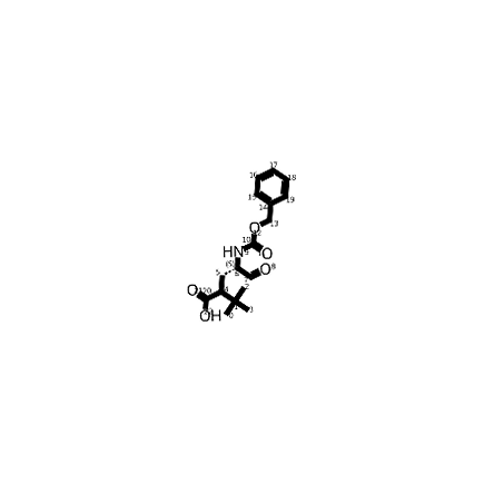 CC(C)(C)C(C[C@@H](C=O)NC(=O)OCc1ccccc1)C(=O)O